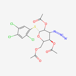 CC(=O)OCC1O[C@H](Sc2cc(Cl)c(Cl)cc2Cl)C(OC(C)=O)C(N=[N+]=[N-])[C@H]1OC(C)=O